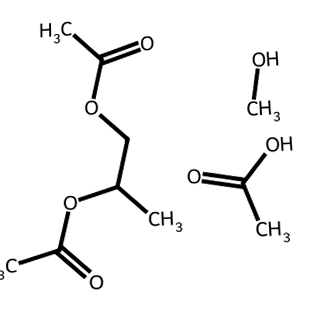 CC(=O)O.CC(=O)OCC(C)OC(C)=O.CO